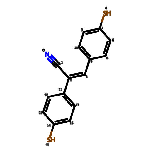 N#CC(=Cc1ccc(S)cc1)c1ccc(S)cc1